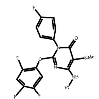 CCNc1nc(Oc2cc(F)c(F)cc2F)n(-c2ccc(F)cc2)c(=O)c1NC